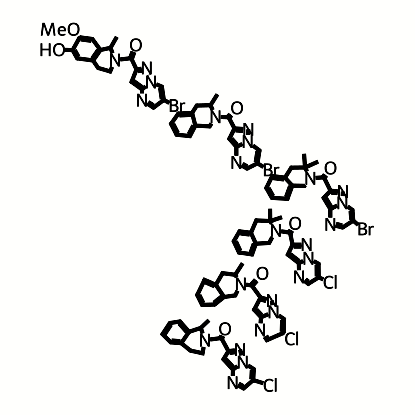 CC1(C)Cc2ccccc2CN1C(=O)c1cc2ncc(Br)cn2n1.CC1(C)Cc2ccccc2CN1C(=O)c1cc2ncc(Cl)cn2n1.CC1Cc2ccccc2CN1C(=O)c1cc2ncc(Br)cn2n1.CC1Cc2ccccc2CN1C(=O)c1cc2ncc(Cl)cn2n1.CC1c2ccccc2CCN1C(=O)c1cc2ncc(Cl)cn2n1.COc1cc2c(cc1O)CCN(C(=O)c1cc3ncc(Br)cn3n1)C2C